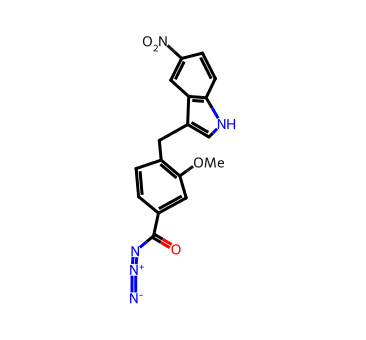 COc1cc(C(=O)N=[N+]=[N-])ccc1Cc1c[nH]c2ccc([N+](=O)[O-])cc12